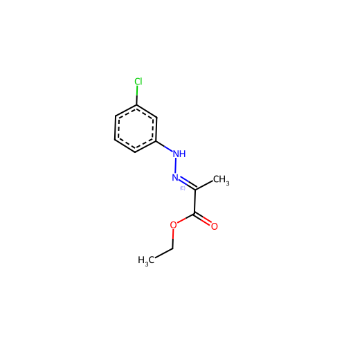 CCOC(=O)/C(C)=N/Nc1cccc(Cl)c1